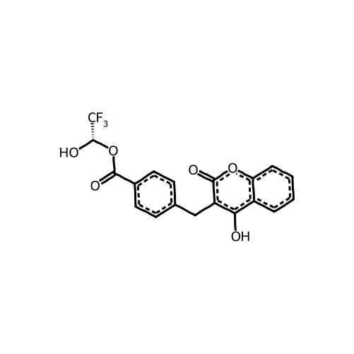 O=C(O[C@H](O)C(F)(F)F)c1ccc(Cc2c(O)c3ccccc3oc2=O)cc1